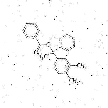 [CH2]c1ccc(S(C)(OC(=O)c2ccccc2)c2ccccc2)cc1C